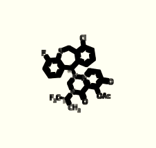 CC(=O)Oc1c2n(ccc1=O)N([C@@H]1c3cccc(Cl)c3CSc3c(F)cccc31)CN([C@H](C)C(F)(F)F)C2=O